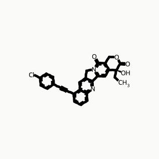 CC[C@@]1(O)C(=O)OCc2c1cc1n(c2=O)Cc2cc3c(C#Cc4ccc(Cl)cc4)cccc3nc2-1